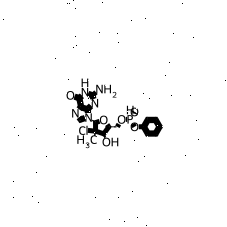 C[C@@]1(Cl)[C@H](O)[C@@H](CO[PH](=O)Oc2ccccc2)O[C@H]1n1cnc2c(=O)[nH]c(N)nc21